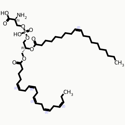 CC/C=C\C/C=C\C/C=C\C/C=C\C/C=C\CCCC(=O)OC[C@H](COP(=O)(O)OC[C@H](N)C(=O)O)OC(=O)CCCCCCC/C=C\CCCCCCCCC